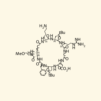 COCCNC(=O)[C@H]1NC(=O)[C@H](Cc2ccccc2)NC(=O)C(CSC(C)(C)C)NC(=O)[C@H](CC(=O)O)NC(=O)CNC(=O)[C@H](CCCNC(=N)N)NC(=O)[C@H](CSC(C)(C)C)NC(=O)[C@H](CCCCN)NC(=O)CS[C@H]1C